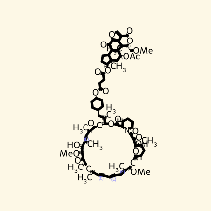 COC[C@H]1OC(=O)c2coc3c2[C@@]1(C)C1=C(C3=O)C2CC[C@H](OC(=O)CCC(=O)O[C@H]3CC[C@H](C[C@@H](C)[C@@H]4CC(=O)[C@H](C)/C=C(\C)[C@@H](O)[C@@H](OC)C(=O)[C@H](C)C[C@H](C)/C=C/C=C/C=C(\C)[C@@H](OC)C[C@@H]5CC[C@@H](C)[C@@](O)(O5)C(=O)C(=O)N5CCCC[C@H]5C(=O)O4)CC3)[C@@]2(C)C[C@H]1OC(C)=O